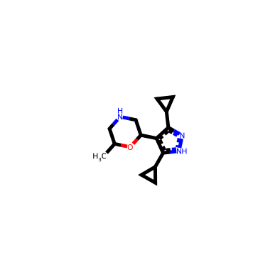 CC1CNCC(c2c(C3CC3)n[nH]c2C2CC2)O1